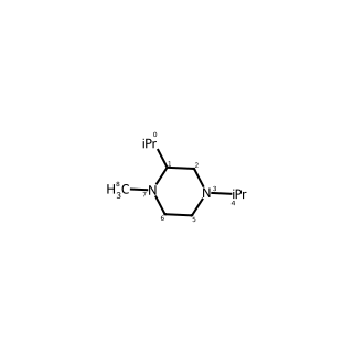 CC(C)C1CN(C(C)C)CCN1C